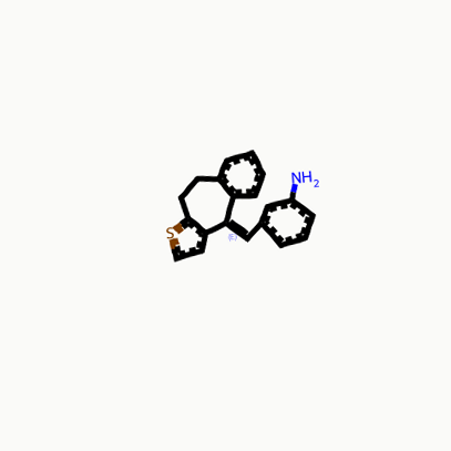 Nc1cccc(/C=C2\c3ccccc3CCc3sccc32)c1